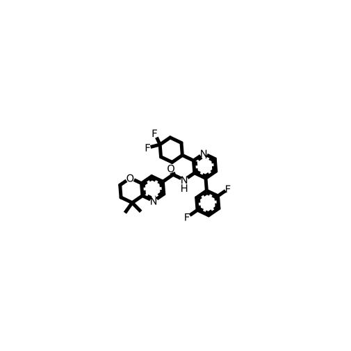 CC1(C)CCOc2cc(C(=O)Nc3c(-c4cc(F)ccc4F)ccnc3C3CCC(F)(F)CC3)cnc21